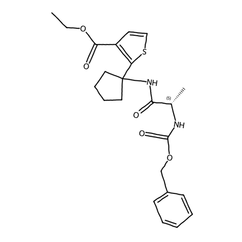 CCOC(=O)c1ccsc1C1(NC(=O)[C@H](C)NC(=O)OCc2ccccc2)CCCC1